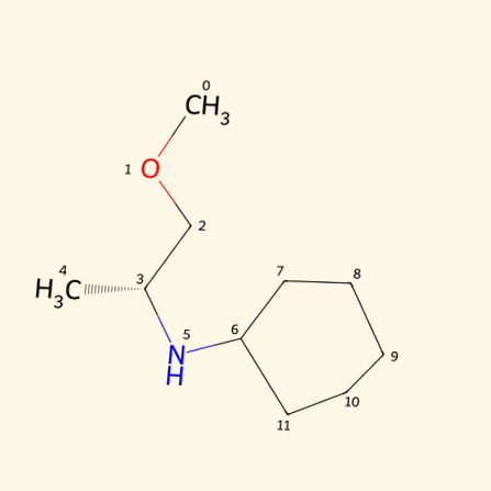 COC[C@@H](C)NC1CCCCC1